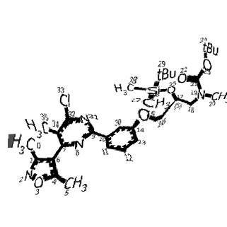 Cc1noc(C)c1-c1nc(-c2cccc(OC[C@H](CN(C)C(=O)OC(C)(C)C)O[Si](C)(C)C(C)(C)C)c2)nc(Cl)c1C